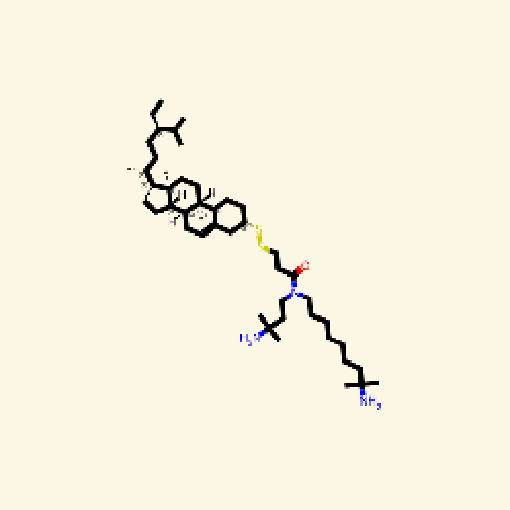 CC[C@H](CC[C@@H](C)[C@H]1CC[C@H]2[C@@H]3CC=C4C[C@@H](SSCCC(=O)N(CCCCCCCC(C)(C)N)CCC(C)(C)N)CC[C@]4(C)[C@H]3CC[C@]12C)C(C)C